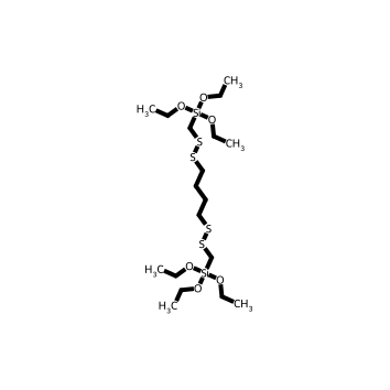 CCO[Si](CSSCCCCSSC[Si](OCC)(OCC)OCC)(OCC)OCC